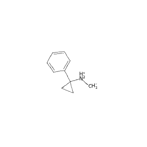 [CH2-][NH2+]C1(c2ccccc2)CC1